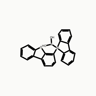 OB(O)[N+]1(c2cccc3c2oc2ccccc23)c2ccccc2-c2ccccc21